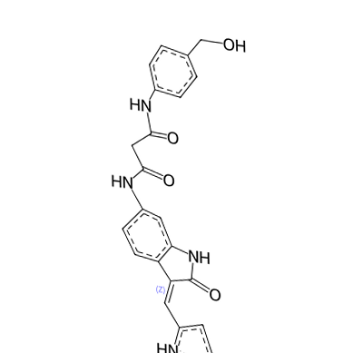 O=C(CC(=O)Nc1ccc2c(c1)NC(=O)/C2=C\c1ccc[nH]1)Nc1ccc(CO)cc1